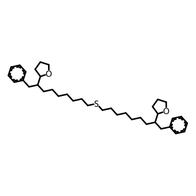 c1ccc(CC(CCCCCCCSCCCCCCCC(Cc2ccccc2)C2CCCO2)C2CCCO2)cc1